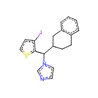 Ic1ccsc1C(C1CCc2ccccc2C1)n1ccnc1